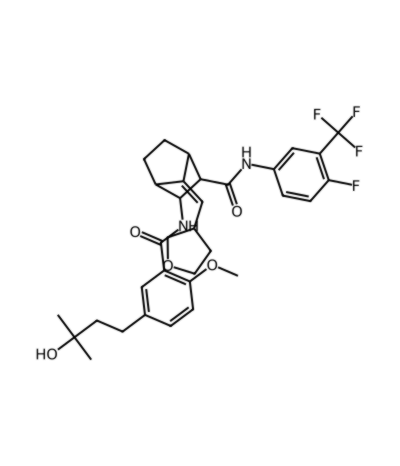 COc1ccc(CCC(C)(C)O)cc1C(=O)NC1C2CCC(/C2=C/C2CCOC2)C1C(=O)Nc1ccc(F)c(C(F)(F)F)c1